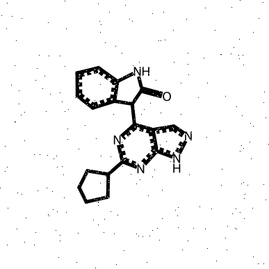 O=C1Nc2ccccc2C1c1nc(C2CCCC2)nc2[nH]ncc12